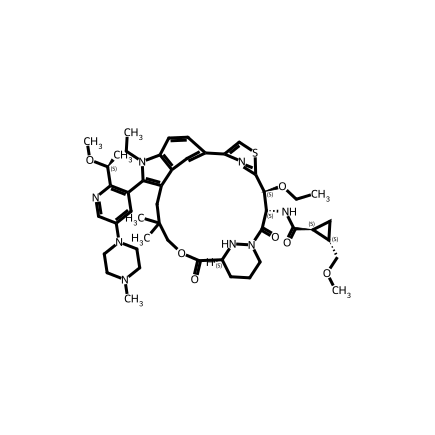 CCO[C@@H]1c2nc(cs2)-c2ccc3c(c2)c(c(-c2cc(N4CCN(C)CC4)cnc2[C@H](C)OC)n3CC)CC(C)(C)COC(=O)[C@@H]2CCCN(N2)C(=O)[C@H]1NC(=O)[C@H]1C[C@@H]1COC